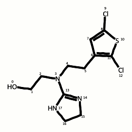 OCCN(CCc1cc(Cl)sc1Cl)C1=NCCN1